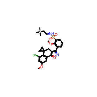 COc1cc(Br)c2c(c1)-c1onc(-c3cccc(S(=O)(=O)NCC[Si](C)(C)C)c3OC)c1CC21CC1